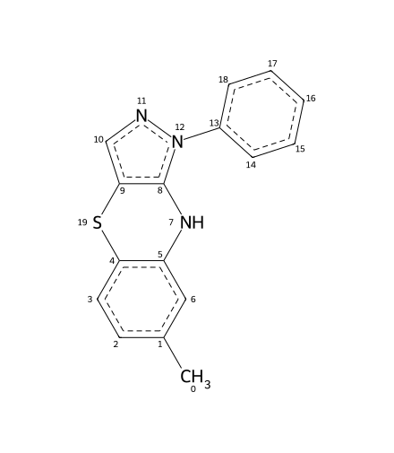 Cc1ccc2c(c1)Nc1c(cnn1-c1ccccc1)S2